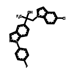 OC(Cn1ccc2cc(Cl)ccc21)(c1ccc2c(cnn2-c2ccc(F)cc2)c1)C(F)(F)F